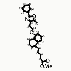 COC(=O)CCCCC1=CCCc2c(OCCc3nc(-c4ccccc4)oc3C)cccc21